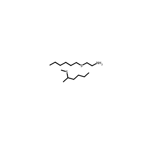 CCCCC(C)SC.CCCCCCSCCN